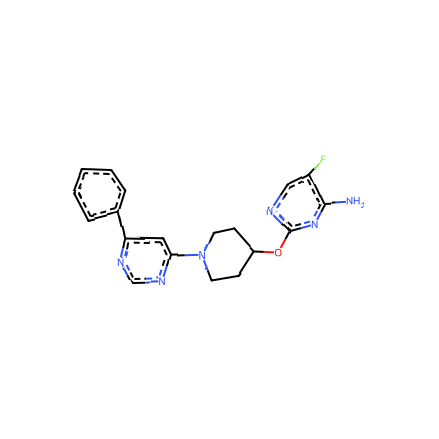 Nc1nc(OC2CCN(c3cc(-c4ccccc4)ncn3)CC2)ncc1F